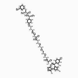 CCCC(NC(=O)/C(C#N)=C/c1cccc(Br)n1)c1ccc(OCC/C=N/OCC(=O)NCCOCCOCCOCCNC(=O)C[C@@H]2N=C(c3ccc(Cl)cc3)c3c(sc(C)c3C)-n3c(C)nnc32)cc1